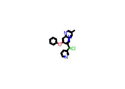 CC1=CN=C2C=C(Oc3ccccc3)C=CC23C1CCN3CCc1cccnc1.Cl